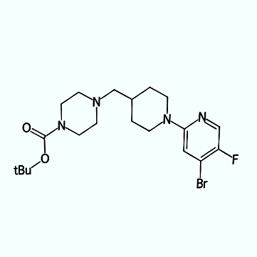 CC(C)(C)OC(=O)N1CCN(CC2CCN(c3cc(Br)c(F)cn3)CC2)CC1